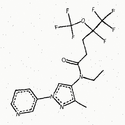 CCN(C(=O)CCC(F)(OC(F)(F)F)C(F)(F)F)c1cn(-c2cccnc2)nc1C